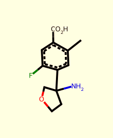 Cc1cc(C2(N)CCOC2)c(F)cc1C(=O)O